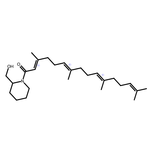 CC(C)=CCC/C(C)=C/CC/C(C)=C/CC/C(C)=C/C(=O)N1CCCCC1CO